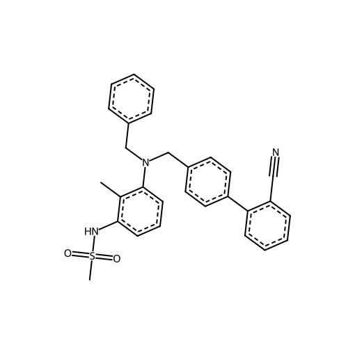 Cc1c(NS(C)(=O)=O)cccc1N(Cc1ccccc1)Cc1ccc(-c2ccccc2C#N)cc1